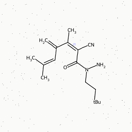 C=C(C=C(C)C)/C(C)=C(/C#N)C(=O)N(N)CCC(C)(C)C